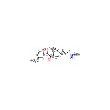 CCCCc1oc2ccc(C(=O)O)cc2c1C(=O)c1ccc(/C=C/CN(CCCC)CCCC)cc1